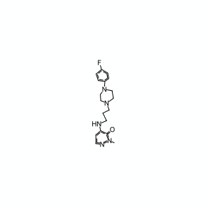 Cn1nccc(NCCCN2CCN(c3ccc(F)cc3)CC2)c1=O